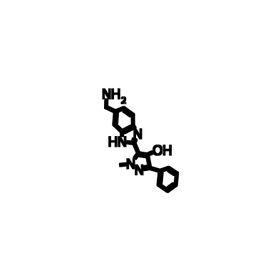 Cn1nc(-c2ccccc2)c(O)c1-c1nc2ccc(CN)cc2[nH]1